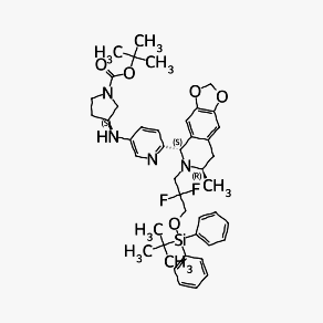 C[C@@H]1Cc2cc3c(cc2[C@@H](c2ccc(N[C@H]4CCN(C(=O)OC(C)(C)C)C4)cn2)N1CC(F)(F)CO[Si](c1ccccc1)(c1ccccc1)C(C)(C)C)OCO3